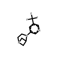 FC(F)(F)c1cncc(N2CCN3CC2C3)c1